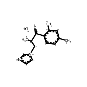 Cc1ccc(C(=O)C(C)Cn2ccnc2)c(C)c1.Cl